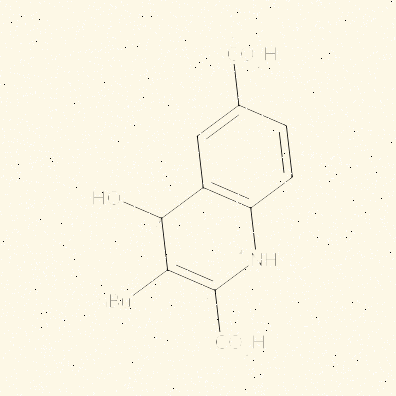 CCCCC1=C(C(=O)O)Nc2ccc(C(=O)O)cc2C1O